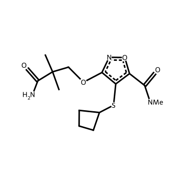 CNC(=O)c1onc(OCC(C)(C)C(N)=O)c1SC1CCC1